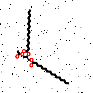 CCCCCCCCCCCCCCCC(=O)OC[C@H](COC(C)=O)OC(=O)CCCCCCCCCCCCCCC